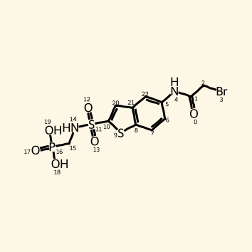 O=C(CBr)Nc1ccc2sc(S(=O)(=O)NCP(=O)(O)O)cc2c1